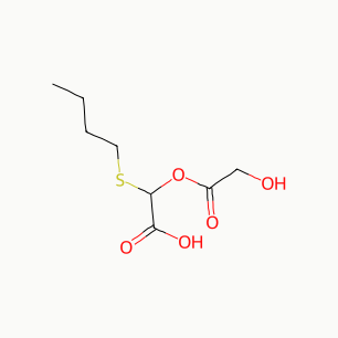 CCCCSC(OC(=O)CO)C(=O)O